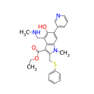 CCOC(=O)c1c(CSc2ccccc2)n(C)c2cc(-c3cccnc3)c(O)c(CNC)c12